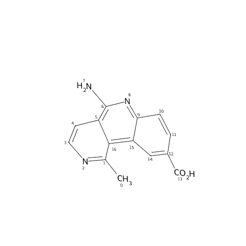 Cc1nccc2c(N)nc3ccc(C(=O)O)cc3c12